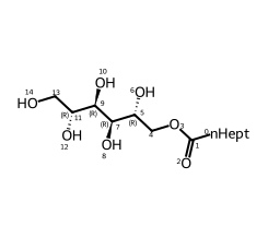 CCCCCCCC(=O)OC[C@@H](O)[C@@H](O)[C@H](O)[C@H](O)CO